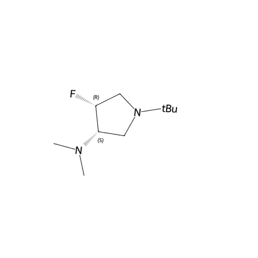 CN(C)[C@H]1CN(C(C)(C)C)C[C@H]1F